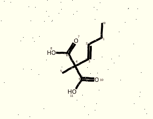 CCC=CC(C)(C(=O)O)C(=O)O